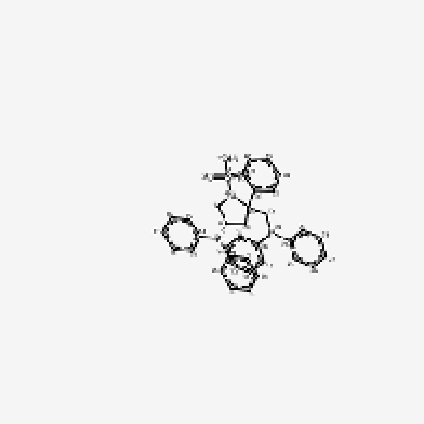 O=S(=O)(O)N1C[C@@H](P(c2ccccc2)c2ccccc2)C[C@@]1(CP(c1ccccc1)c1ccccc1)c1ccccc1